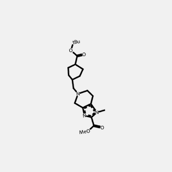 COC(=O)c1nc2c(n1C)CCN(CC1CCC(C(=O)OC(C)(C)C)CC1)C2